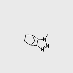 CN1N=NC2C3CCC(C3)C21